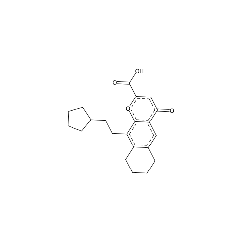 O=C(O)c1cc(=O)c2cc3c(c(CCC4CCCC4)c2o1)CCCC3